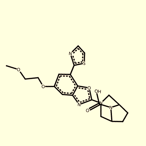 COCCOc1cc(-c2nccs2)c2oc(N3CC4CCC(C3)N4C(=O)O)nc2c1